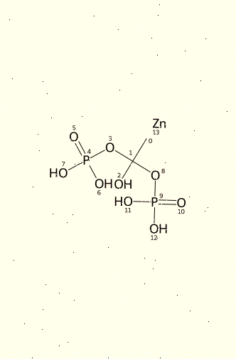 CC(O)(OP(=O)(O)O)OP(=O)(O)O.[Zn]